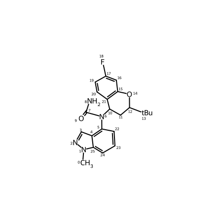 Cn1ncc2c(N(C(N)=O)C3CC(C(C)(C)C)Oc4cc(F)ccc43)cccc21